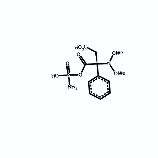 CON(OC)[C@@](CC(=O)O)(C(=O)OP(N)(=O)O)c1ccccc1